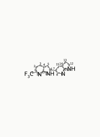 FC(F)(F)c1ccc2cc(-c3cnc4[nH]ccc4c3)[nH]c2n1